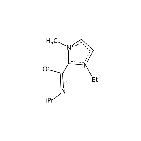 CCn1cc[n+](C)c1/C([O-])=N/C(C)C